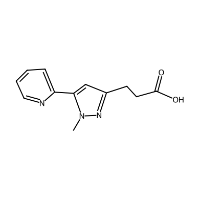 Cn1nc(CCC(=O)O)cc1-c1ccccn1